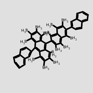 Bc1c(-c2c3c(B)c(B)c(B)c(B)c3c(-c3ccc4ccccc4c3)c3c(B)c(B)c(B)c(B)c23)c(B)c2c(B)c(B)c(-c3ccc4ccccc4c3)c(B)c2c1B